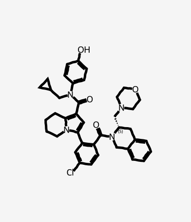 O=C(c1cc(-c2cc(Cl)ccc2C(=O)N2Cc3ccccc3C[C@H]2CN2CCOCC2)n2c1CCCC2)N(CC1CC1)c1ccc(O)cc1